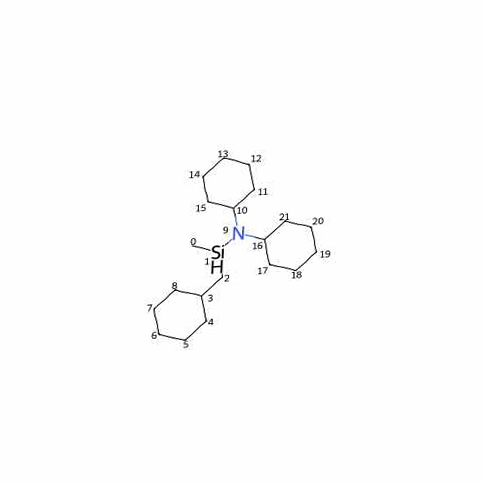 C[SiH](CC1CCCCC1)N(C1CCCCC1)C1CCCCC1